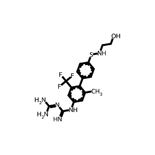 Cc1cc(NC(=N)N=C(N)N)cc(C(F)(F)F)c1-c1ccc(SNCCO)cc1